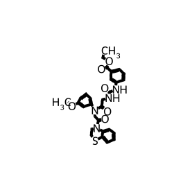 CCOC(=O)c1cccc(NC(=O)NCC(=O)N(CC(=O)N2CCSc3ccccc32)c2cccc(OC)c2)c1